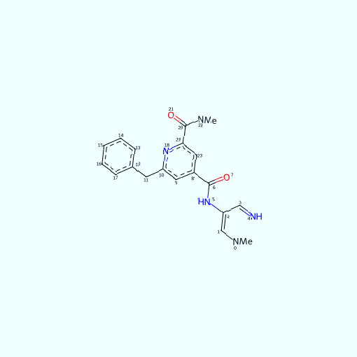 CN/C=C(\C=N)NC(=O)c1cc(Cc2ccccc2)nc(C(=O)NC)c1